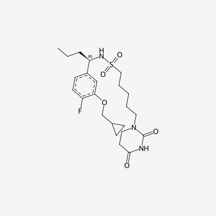 CCC[C@@H](NS(=O)(=O)CCCCCN1CCC(=O)NC1=O)c1ccc(F)c(OCC2CC2)c1